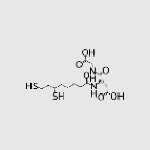 O=C(O)CNC(=O)[C@H](CC(=O)O)NC(=O)CCCCC(S)CCS